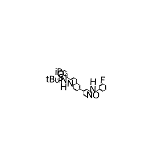 CC(C)CC(N[S+]([O-])C(C)(C)C)c1ccc2cc(-c3ccnc(NC(=O)c4cccc(F)c4)c3)ccc2n1